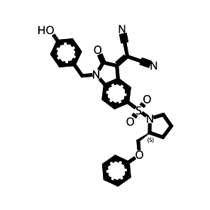 N#CC(C#N)=C1C(=O)N(Cc2ccc(O)cc2)c2ccc(S(=O)(=O)N3CCC[C@H]3COc3ccccc3)cc21